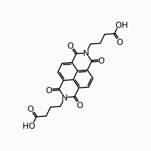 O=C(O)CCCN1C(=O)c2ccc3c4c(ccc(c24)C1=O)C(=O)N(CCCC(=O)O)C3=O